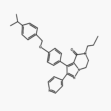 CCCN1CCn2nc(-c3ccncc3)c(-c3ccc(OCc4ccc(C(C)C)cc4)cc3)c2C1=O